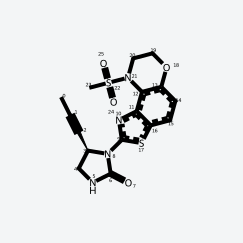 CC#C[C@@H]1CNC(=O)N1c1nc2c3c(ccc2s1)OCCN3S(C)(=O)=O